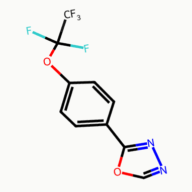 FC(F)(F)C(F)(F)Oc1ccc(-c2nnco2)cc1